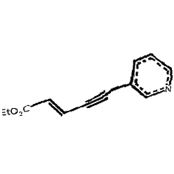 CCOC(=O)C=CC#Cc1cccnc1